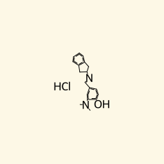 CN(C)c1cc(C=NC2Cc3ccccc3C2)ccc1O.Cl